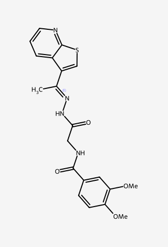 COc1ccc(C(=O)NCC(=O)N/N=C(\C)c2csc3ncccc23)cc1OC